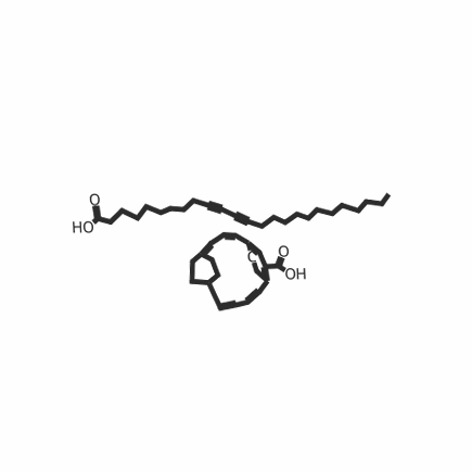 CCCCCCCCCCCCC#CC#CCCCCCCCCC(=O)O.O=C(O)C1=C2C=CC=CC3CCC(=CC=CC(=C1)CC2)CC3